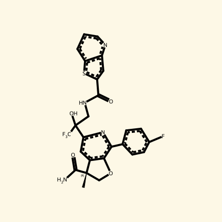 C[C@]1(C(N)=O)COc2c1cc(C(O)(CNC(=O)c1cc3ncccc3s1)C(F)(F)F)nc2-c1ccc(F)cc1